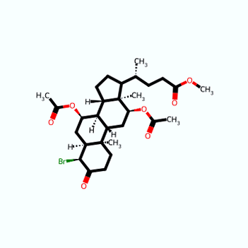 COC(=O)CC[C@@H](C)C1CC[C@H]2[C@@H]3[C@H](OC(C)=O)C[C@@H]4[C@H](Br)C(=O)CC[C@]4(C)[C@H]3C[C@H](OC(C)=O)[C@]12C